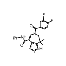 CC(C)NC(=O)C1=CN(C(=O)c2ccc(F)c(F)c2)CC(C)(C)c2[nH]ncc21